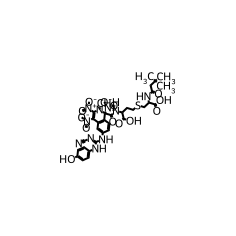 CN1C([N+](=O)[O-])=C([N+](=O)[O-])c2cc(NC(=NC#N)Nc3ccc(O)cc3)ccc2C1(C(=O)NC(CCSCC(NC(=O)CC(C)(C)C)C(=O)O)C(=O)O)[N+](=O)[O-]